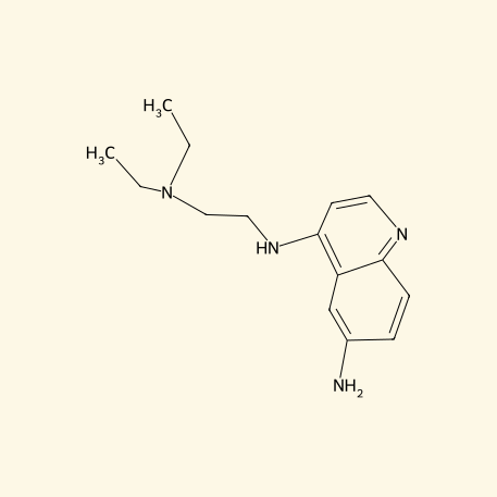 CCN(CC)CCNc1ccnc2ccc(N)cc12